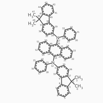 CC1(C)c2ccccc2-c2cc(N(c3ccccc3)c3c4ccccc4c(N(c4ccccc4)c4ccc5c(c4)-c4ccccc4C5(C)C)c4ccccc34)ccc21